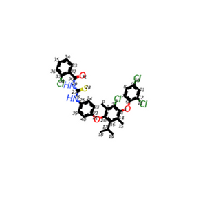 Cc1c(Cl)c(Oc2ccc(Cl)cc2Cl)c(C)c(C(C)C)c1Oc1ccc(NC(=S)NC(=O)c2ccccc2Cl)cc1